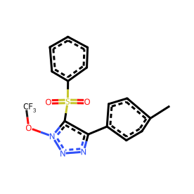 Cc1ccc(-c2nnn(OC(F)(F)F)c2S(=O)(=O)c2ccccc2)cc1